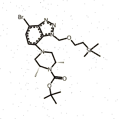 C[C@@H]1CN(c2ccc(Br)c3nnn(COCC[Si](C)(C)C)c23)C[C@H](C)N1C(=O)OC(C)(C)C